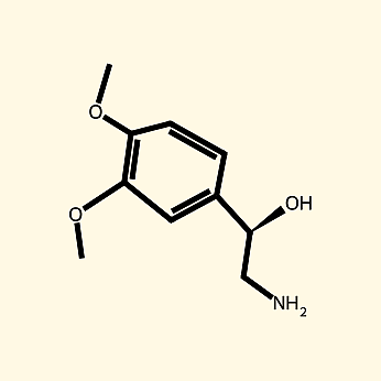 COc1ccc([C@@H](O)CN)cc1OC